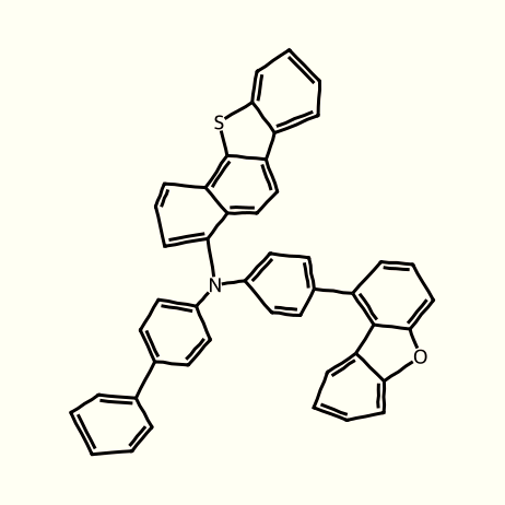 c1ccc(-c2ccc(N(c3ccc(-c4cccc5oc6ccccc6c45)cc3)c3cccc4c3ccc3c5ccccc5sc43)cc2)cc1